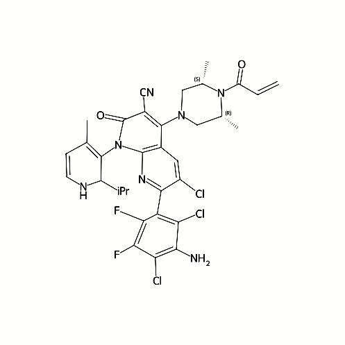 C=CC(=O)N1[C@H](C)CN(c2c(C#N)c(=O)n(C3=C(C)C=CNC3C(C)C)c3nc(-c4c(F)c(F)c(Cl)c(N)c4Cl)c(Cl)cc23)C[C@@H]1C